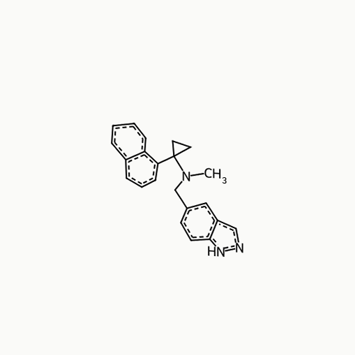 CN(Cc1ccc2[nH]ncc2c1)C1(c2cccc3ccccc23)CC1